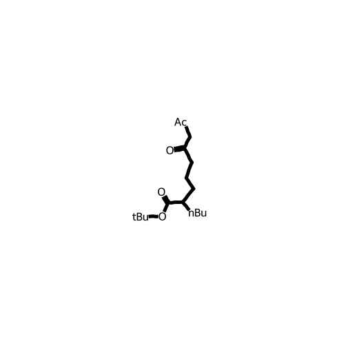 CCCCC(CCCC(=O)CC(C)=O)C(=O)OC(C)(C)C